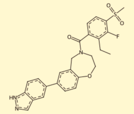 CCc1c(C(=O)N2CCOc3ccc(-c4ccc5[nH]ncc5c4)cc3C2)ccc(S(C)(=O)=O)c1F